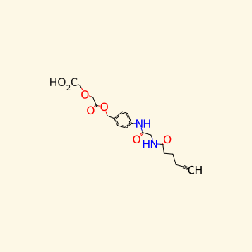 C#CCCCC(=O)NCC(=O)Nc1ccc(COC(=O)COCC(=O)O)cc1